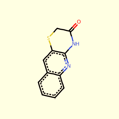 O=C1CSc2cc3cc[c]cc3nc2N1